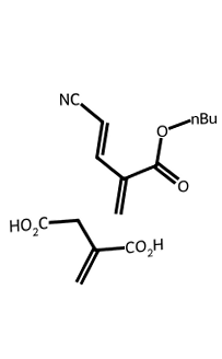 C=C(C=CC#N)C(=O)OCCCC.C=C(CC(=O)O)C(=O)O